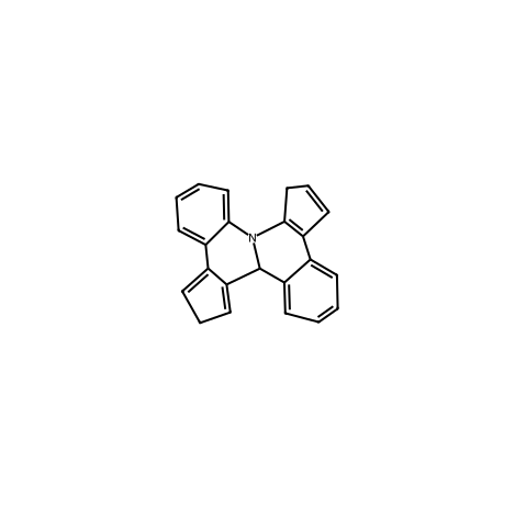 C1=CC2=C(C1)N1c3ccccc3C3=CCC=C3C1c1ccccc12